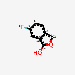 Oc1obc2ccc(F)cc12